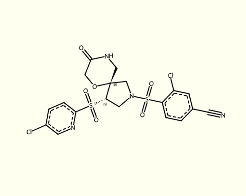 N#Cc1ccc(S(=O)(=O)N2C[C@H](S(=O)(=O)c3ccc(Cl)cn3)[C@@]3(CNC(=O)CO3)C2)c(Cl)c1